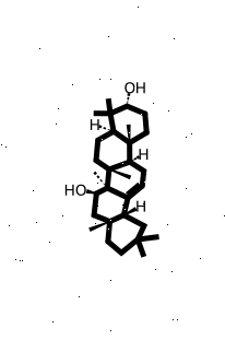 CC1(C)CC[C@]2(C)C[C@@H](O)[C@]3(C)C(=CC[C@@H]4[C@@]5(C)CC[C@@H](O)C(C)(C)[C@@H]5CC[C@]43C)[C@@H]2C1